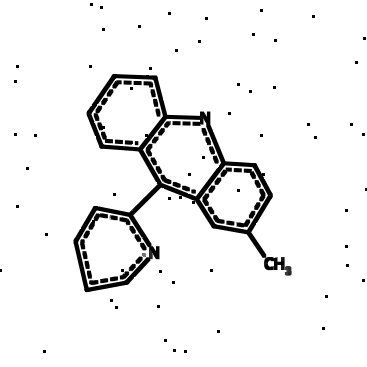 Cc1ccc2nc3ccccc3c(-c3ccccn3)c2c1